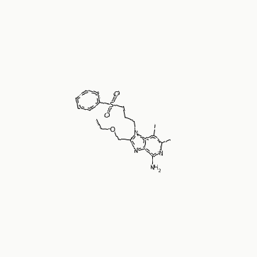 CCOCc1nc2c(N)nc(C)c(C)c2n1CCCS(=O)(=O)c1ccccc1